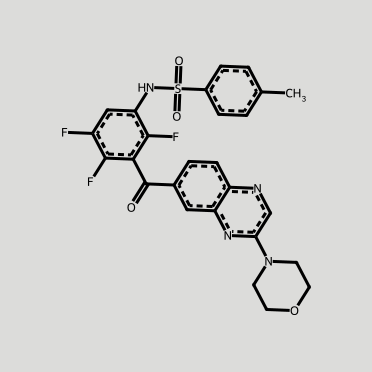 Cc1ccc(S(=O)(=O)Nc2cc(F)c(F)c(C(=O)c3ccc4ncc(N5CCOCC5)nc4c3)c2F)cc1